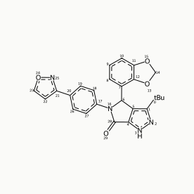 CC(C)(C)c1n[nH]c2c1C(c1cccc3c1OCO3)N(c1ccc(-c3ccon3)cc1)C2=O